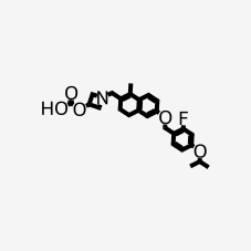 CC1=C(CN2CC(OC(=O)O)C2)CCc2cc(OCc3ccc(OC(C)C)cc3F)ccc21